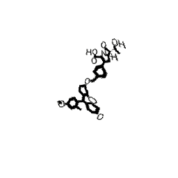 COc1ccc(-c2c3ccc(=O)cc-3oc3cc(OCc4ccc(C5=C(C(=O)O)N6C(=O)[C@H](C(C)O)[C@H]6C5)cc4)ccc23)c(C)c1